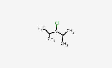 C[CH](C)[Ni]([Cl])[CH](C)C